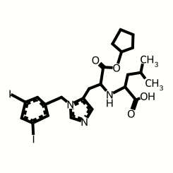 CC(C)CC(NC(Cc1cncn1Cc1cc(I)cc(I)c1)C(=O)OC1CCCC1)C(=O)O